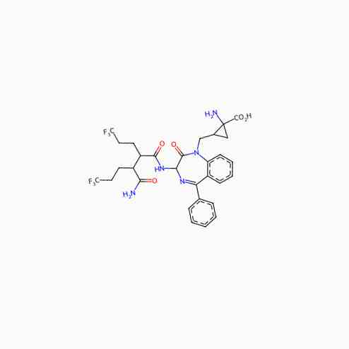 NC(=O)C(CCC(F)(F)F)C(CCC(F)(F)F)C(=O)NC1N=C(c2ccccc2)c2ccccc2N(CC2CC2(N)C(=O)O)C1=O